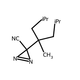 CC(C)CC(C)(CC(C)C)C1(C#N)N=N1